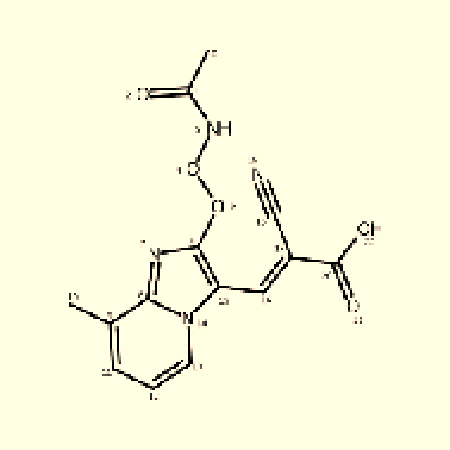 CC(=O)NOOc1nc2c(C)cccn2c1C=C(C#N)C(=O)O